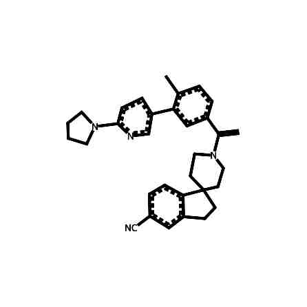 C=C(c1ccc(C)c(-c2ccc(N3CCCC3)nc2)c1)N1CCC2(CCc3cc(C#N)ccc32)CC1